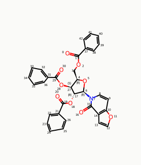 O=C(OC[C@H]1O[C@@H](n2ccc3occc3c2=O)[C@H](OC(=O)c2ccccc2)[C@H]1OC(=O)c1ccccc1)c1ccccc1